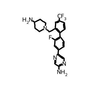 Nc1cnc(-c2ccc(-c3ccc(C(F)(F)F)cc3CN3CCC(N)CC3)c(F)c2)cn1